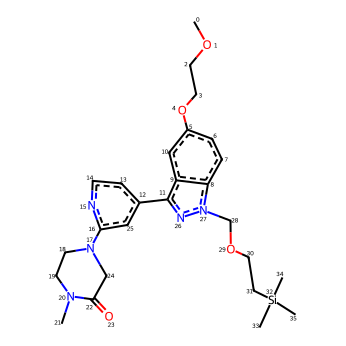 COCCOc1ccc2c(c1)c(-c1ccnc(N3CCN(C)C(=O)C3)c1)nn2COCC[Si](C)(C)C